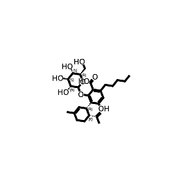 C=C(C)[C@@H]1CCC(C)=C[C@@H]1c1c(O)cc(CCCCC)c(C(=O)O)c1OC1O[C@H](CO)[C@@H](O)[C@H](O)[C@H]1O